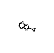 c1cnc2sc(C3CC3)nc2c1